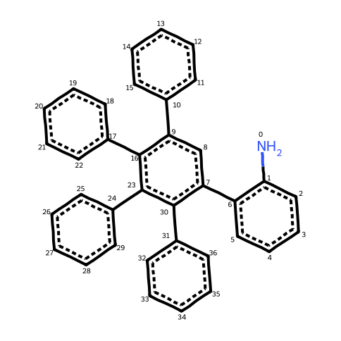 Nc1ccccc1-c1cc(-c2ccccc2)c(-c2ccccc2)c(-c2ccccc2)c1-c1ccccc1